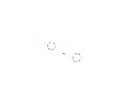 COc1cccc(NC2=NN(c3cnc(N4CCOCC4)c(Cl)c3)CO2)c1